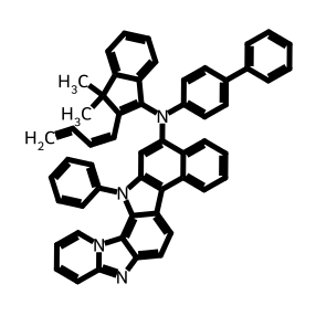 C=C/C=C\C1=C(N(c2ccc(-c3ccccc3)cc2)c2cc3c(c4ccccc24)c2ccc4nc5ccccn5c4c2n3-c2ccccc2)c2ccccc2C1(C)C